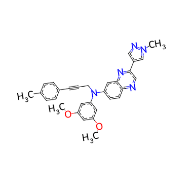 COc1cc(OC)cc(N(CC#Cc2ccc(C)cc2)c2ccc3ncc(-c4cnn(C)c4)nc3c2)c1